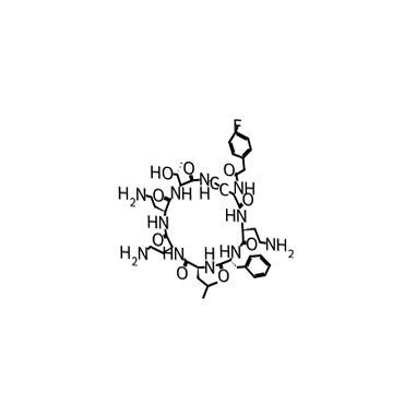 CC(C)C[C@@H]1NC(=O)[C@@H](Cc2ccccc2)NC(=O)[C@H](CCN)NC(=O)[C@@H](NC(=O)Cc2ccc(F)cc2)CCNC(=O)[C@H]([C@@H](C)O)NC(=O)[C@H](CCN)NC(=O)[C@H](CCN)NC1=O